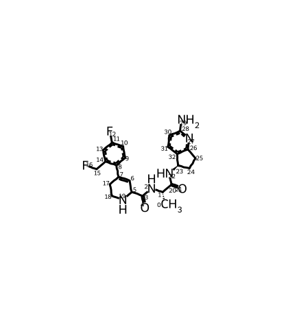 C[C@H](NC(=O)C1C=C(c2ccc(F)cc2CF)CCN1)C(=O)N[C@@H]1CCc2nc(N)ccc21